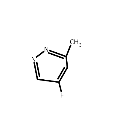 Cc1cc(F)cnn1